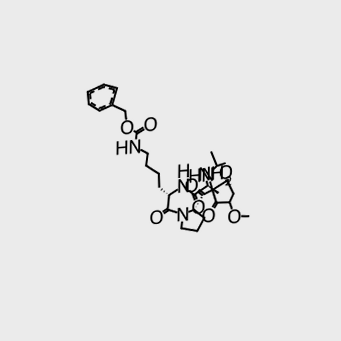 COC1CC(=O)C(NC(C)C)(C(=O)[C@@H]2CCCN2C(=O)[C@H](CCCCNC(=O)OCc2ccccc2)NC(=O)[C@H](C)N)C1=O